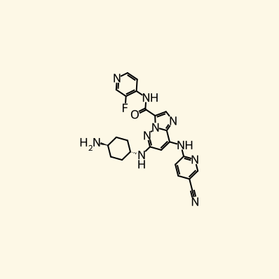 N#Cc1ccc(Nc2cc(N[C@H]3CC[C@H](N)CC3)nn3c(C(=O)Nc4ccncc4F)cnc23)nc1